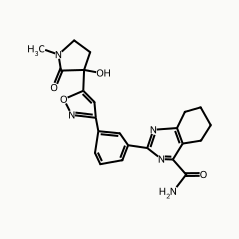 CN1CCC(O)(c2cc(-c3cccc(-c4nc5c(c(C(N)=O)n4)CCCC5)c3)no2)C1=O